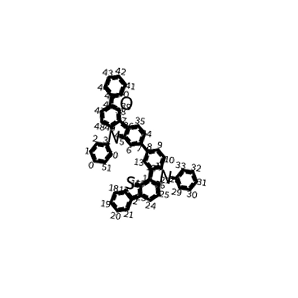 c1ccc(-n2c3cc(-c4ccc5c(c4)c4c6sc7ccccc7c6ccc4n5-c4ccccc4)ccc3c3c4oc5ccccc5c4ccc32)cc1